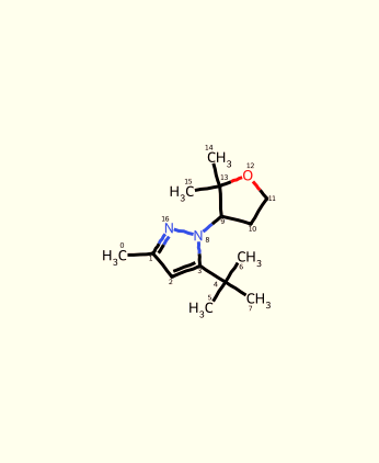 Cc1cc(C(C)(C)C)n(C2CCOC2(C)C)n1